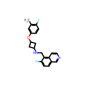 Fc1ccc(OC2CC(NCc3c(F)ccc4cnccc34)C2)cc1C(F)(F)F